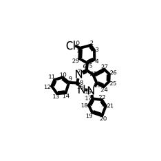 Clc1cccc(C2=NC(c3ccccc3)=NN(c3ccccc3)c3ccccc32)c1